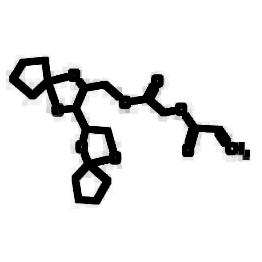 C=CC(=O)OCC(=O)OCC1OC2(CCCC2)OC1C1COC2(CCCC2)O1